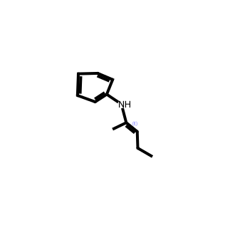 CC/C=C(\C)Nc1ccccc1